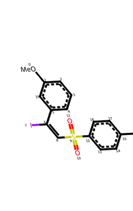 COc1cccc(/C(I)=C\S(=O)(=O)c2ccc(C)cc2)c1